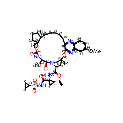 C=C[C@@H]1C[C@]1(NC(=O)[C@@H]1C[C@@H]2CN1C(=O)C(C(C)(C)C)NC(=O)O[C@@H]1CCC[C@H]1CCCCCc1nc3ccc(OC)cc3nc1O2)C(=O)NS(=O)(=O)C1CC1